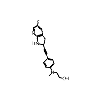 CN(CCO)c1ccc(C#CC2Cc3cc(F)cnc3N2)cc1